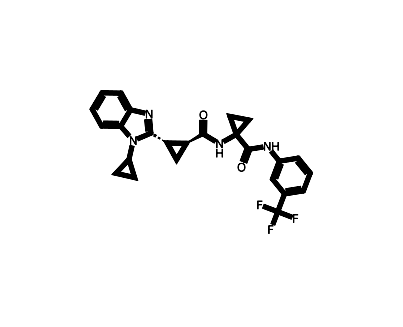 O=C(NC1(C(=O)Nc2cccc(C(F)(F)F)c2)CC1)[C@H]1C[C@@H]1c1nc2ccccc2n1C1CC1